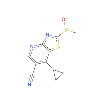 C[S+]([O-])c1nc2ncc(C#N)c(C3CC3)c2s1